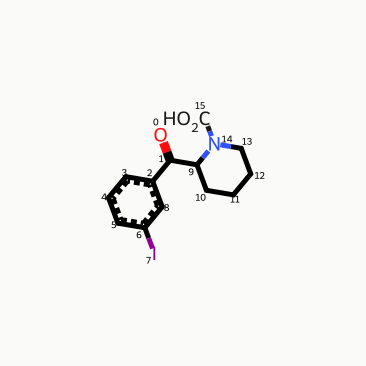 O=C(c1cccc(I)c1)C1CCCCN1C(=O)O